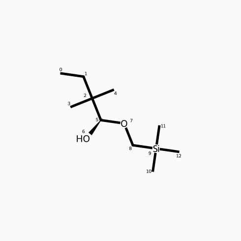 CCC(C)(C)[C@H](O)OC[Si](C)(C)C